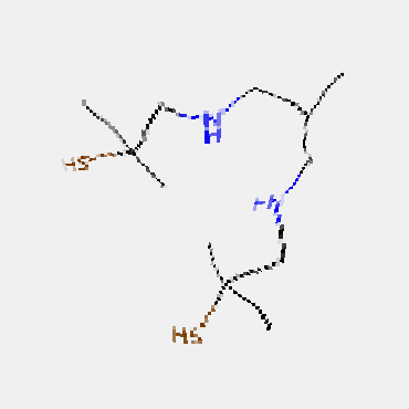 CC(CNCC(C)(C)S)CNCC(C)(C)S